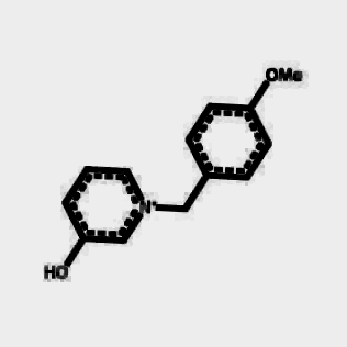 COc1ccc(C[n+]2cccc(O)c2)cc1